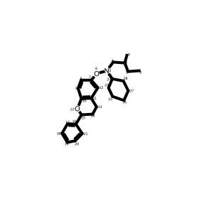 CCC(C)CN(Oc1ccc2c(c1)CCC(c1ccccc1)O2)C1CCCCC1